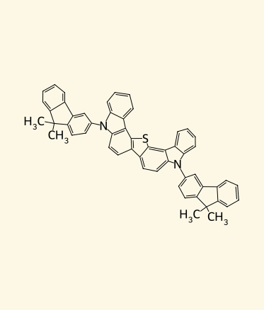 CC1(C)c2ccccc2-c2cc(-n3c4ccccc4c4c5sc6c(ccc7c6c6ccccc6n7-c6ccc7c(c6)-c6ccccc6C7(C)C)c5ccc43)ccc21